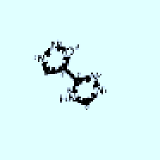 c1nnc(-c2cnno2)[nH]1